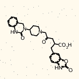 O=C(CC(Cc1ccc2[nH]c(=O)oc2c1)C(=O)O)CN1CCC(N2Cc3ccccc3NC2=O)CC1